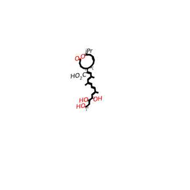 CC(=CC=CC(C)=C[C@H](O)[C@H](O)C[C@H](C)O)C=C(C)C=C(C(=O)O)[C@H]1CCCC(=O)O[C@@H](C(C)C)CC=CC[C@@H]1C